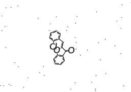 O=C1/C(=C/c2ccccc2Cl)Oc2ccccc21